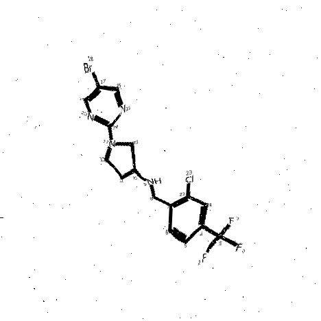 FC(F)(F)c1ccc(CNC2CCN(c3ncc(Br)cn3)C2)c(Cl)c1